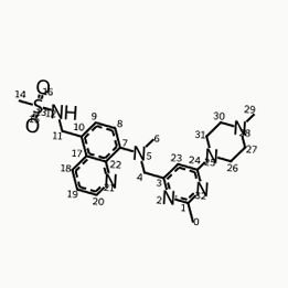 Cc1nc(CN(C)c2ccc(CNS(C)(=O)=O)c3cccnc23)cc(N2CCN(C)CC2)n1